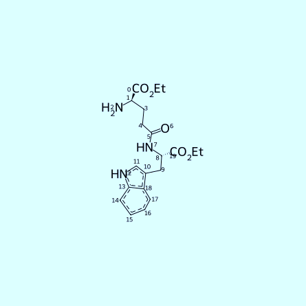 CCOC(=O)[C@H](N)CCC(=O)N[C@@H](Cc1c[nH]c2ccccc12)C(=O)OCC